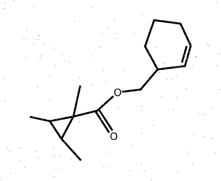 CC1C(C)C1(C)C(=O)OCC1C=CCCC1